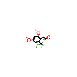 COc1cc(OC)c(CC=O)c(C(F)(F)F)c1